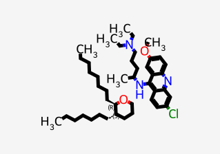 CCCCCCCC[C@H]1OCCC[C@@H]1CCCCCCC.CCN(CC)CCCC(C)Nc1c2ccc(Cl)cc2nc2ccc(OC)cc12